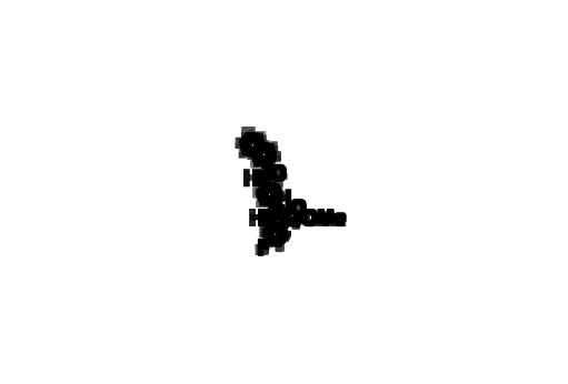 COC(=O)CC(=N)c1ccc(F)cc1NCc1ccc(NC(=O)c2ccc3ccccc3c2)cc1